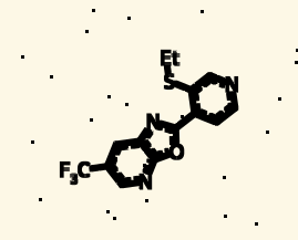 CCSc1cnccc1-c1nc2cc(C(F)(F)F)cnc2o1